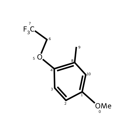 COc1ccc(OCC(F)(F)F)c(C)c1